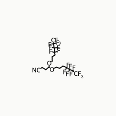 N#CCCC(OCCCC(F)(F)C(F)(F)C(F)(F)C(F)(F)F)OCCCC(F)(F)C(F)(F)C(F)(F)C(F)(F)F